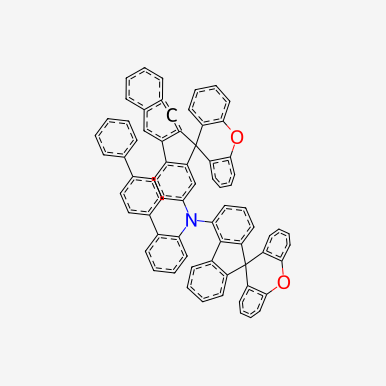 c1ccc(-c2ccc(-c3ccccc3N(c3ccc4c(c3)C3(c5ccccc5Oc5ccccc53)c3cc5ccccc5cc3-4)c3cccc4c3-c3ccccc3C43c4ccccc4Oc4ccccc43)cc2)cc1